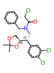 CC1(C)OC[C@@H]([C@H](CN(Cc2ccccc2)C(=O)CCl)c2ccc(Cl)c(Cl)c2)O1